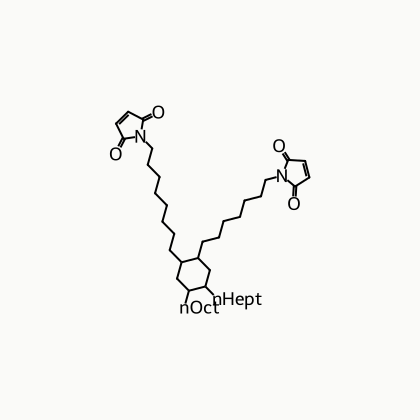 CCCCCCCCC1CC(CCCCCCCCN2C(=O)C=CC2=O)C(CCCCCCCN2C(=O)C=CC2=O)CC1CCCCCCC